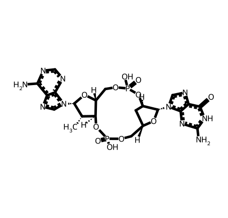 C[C@H]1[C@@H]2OP(=O)(O)OC[C@@H]3C[C@@H](OP(=O)(O)OC[C@H]2O[C@H]1n1cnc2c(N)ncnc21)[C@H](n1cnc2c(=O)[nH]c(N)nc21)O3